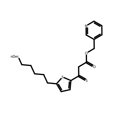 CCCCCCCCCCCCCCCc1ccc(C(=S)CC(=O)OCc2cccnc2)s1